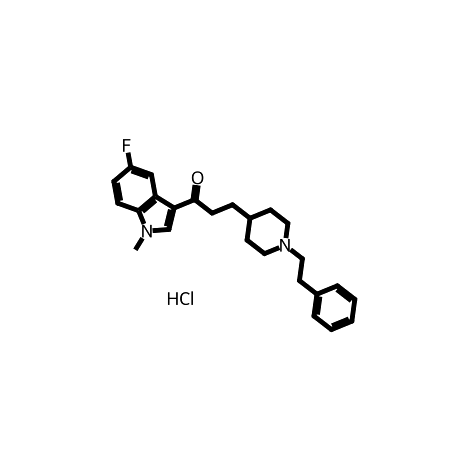 Cl.Cn1cc(C(=O)CCC2CCN(CCc3ccccc3)CC2)c2cc(F)ccc21